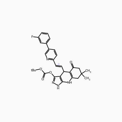 CC1(C)CC(=O)C2=C(C1)Nc1[nH]nc(OC(=O)OC(C)(C)C)c1C2/C=C/c1ccc(-c2cccc(F)c2)cn1